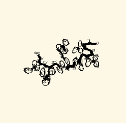 CCC1OC(=O)OC1CC1OC(=O)OC1CC(=O)OCC(COC(=O)CC1OC(=O)OC1CC1OC(=O)OC1CC)OCC1COC(=O)O1